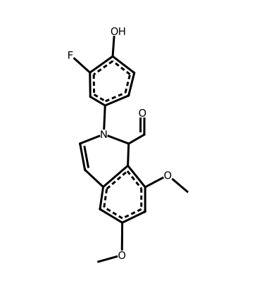 COc1cc2c(c(OC)c1)C(C=O)N(c1ccc(O)c(F)c1)C=C2